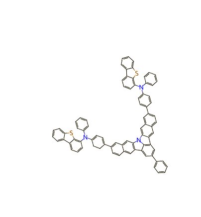 C1=C(c2ccc3cc4c5cc(-c6ccccc6)cc6c7cc8ccc(-c9ccc(N(c%10ccccc%10)c%10cccc%11c%10sc%10ccccc%10%11)cc9)cc8cc7n(c4cc3c2)c56)CCC(N(c2ccccc2)c2cccc3c2sc2ccccc23)=C1